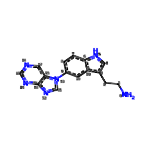 NCCc1c[nH]c2ccc(-n3cnc4ncncc43)cc12